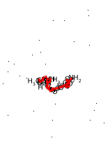 Cc1cnc(Nc2ccc(C=C3CCN(C(=O)CCOCCOCCNc4cccc5c4C(=O)C(C(C=O)CCC(N)=O)C5=O)CC3)cc2)nc1Nc1cccc(CCNC(C)(C)C)c1